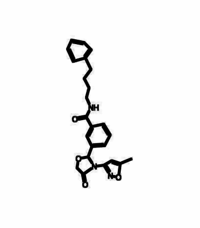 Cc1cc(N2C(=O)COC2c2cccc(C(=O)NCCCCc3ccccc3)c2)no1